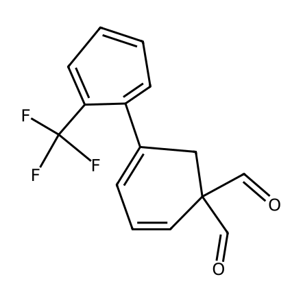 O=CC1(C=O)C=CC=C(c2ccccc2C(F)(F)F)C1